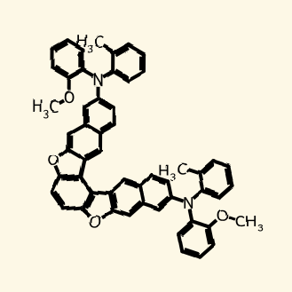 COc1ccccc1N(c1ccc2cc3c(cc2c1)oc1ccc2oc4cc5cc(N(c6ccccc6C)c6ccccc6OC)ccc5cc4c2c13)c1ccccc1C